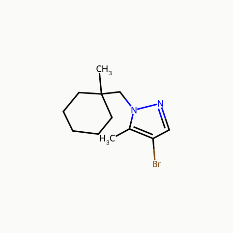 Cc1c(Br)cnn1CC1(C)CCCCC1